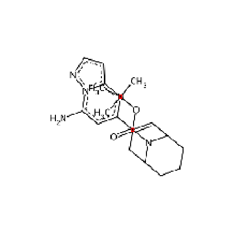 CC(C)(C)OC(=O)N1C2C=C(c3cc(N)n4nccc4n3)CC1CCC2